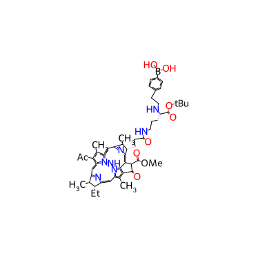 CC[C@H]1/C2=C/c3c(C)c4c5n3Nn3/c(c(C)c(C(C)=O)/c3=C/C(=N2)[C@@H]1C)=C\C1=NC(=C\5C(C(=O)OC)C4=O)/[C@@H](CCC(=O)NCCC[C@H](NCCc2ccc(B(O)O)cc2)C(=O)OC(C)(C)C)[C@@H]1C